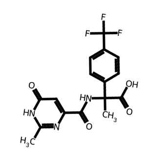 Cc1nc(C(=O)NC(C)(C(=O)O)c2ccc(C(F)(F)F)cc2)cc(=O)[nH]1